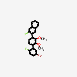 COc1c(-c2cc(Br)ccc2F)ccc(-c2cc3ccccc3cc2F)c1OC